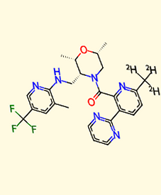 [2H]C([2H])([2H])c1ccc(-c2ncccn2)c(C(=O)N2C[C@@H](C)O[C@@H](C)[C@H]2CNc2ncc(C(F)(F)F)cc2C)n1